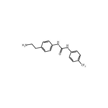 NCCc1ccc(NC(=O)Nc2ccc(C(F)(F)F)cc2)cc1